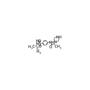 CC(C)NS(=O)(=O)c1ccc(NC(=O)C(C)N2CCNCC2)cc1